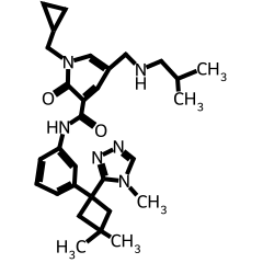 CC(C)CNCc1cc(C(=O)Nc2cccc(C3(c4nncn4C)CC(C)(C)C3)c2)c(=O)n(CC2CC2)c1